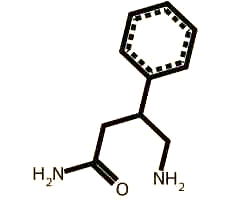 NCC(CC(N)=O)c1ccccc1